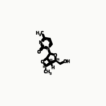 Cc1ccn(C2O[C@@]3(CO)[C@H]4C2O[C@@]43C)c(=O)n1